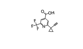 C#CC1(c2cc(C(=O)O)cc(C(F)(F)F)n2)CC1